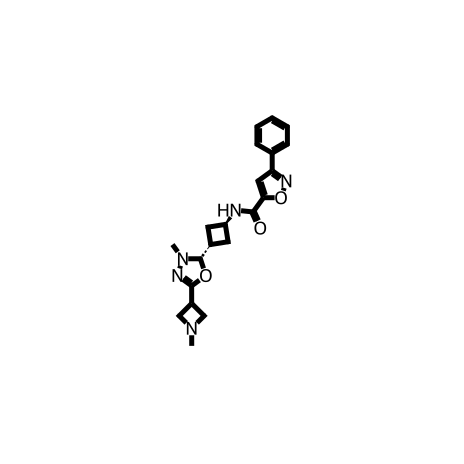 CN1CC(C2=NN(C)C([C@H]3C[C@H](NC(=O)c4cc(-c5ccccc5)no4)C3)O2)C1